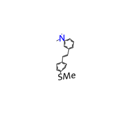 CSc1ccc(/C=C/c2cccc(N(C)C)c2)cc1